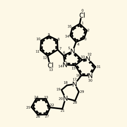 Clc1ccc(-n2c(-c3ccccc3Cl)nc3c(N4CCN(Cc5ccccc5)CC4)ncnc32)cc1